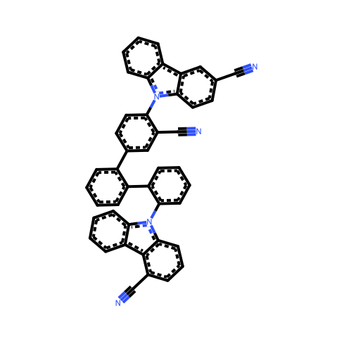 N#Cc1ccc2c(c1)c1ccccc1n2-c1ccc(-c2ccccc2-c2ccccc2-n2c3ccccc3c3c(C#N)cccc32)cc1C#N